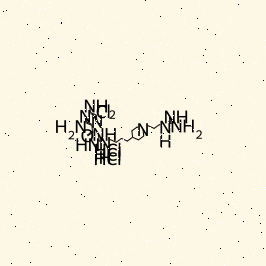 Cl.Cl.Cl.N=C(N)NCCCN1CCC(CCCCNC(=N)NC(=O)c2nc(Cl)c(N)nc2N)CC1